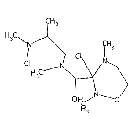 CC(CN(C)C(O)C1(Cl)N(C)CCON1C)N(C)Cl